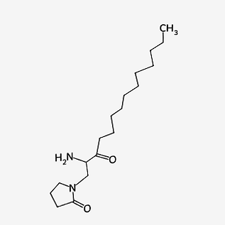 CCCCCCCCCCCC(=O)C(N)CN1CCCC1=O